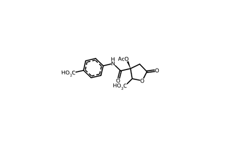 CC(=O)O[C@@]1(C(=O)Nc2ccc(C(=O)O)cc2)CC(=O)OC1C(=O)O